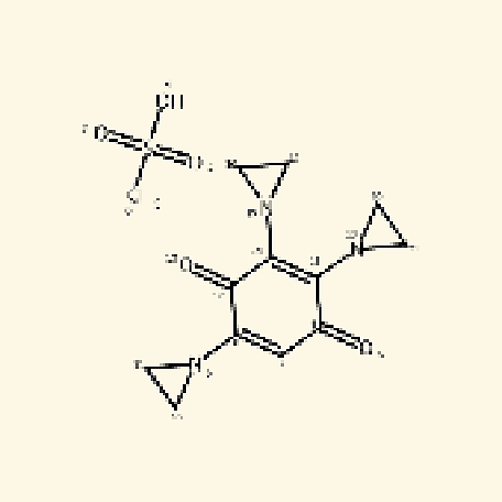 CS(=O)(=O)O.O=C1C=C(N2CC2)C(=O)C(N2CC2)=C1N1CC1